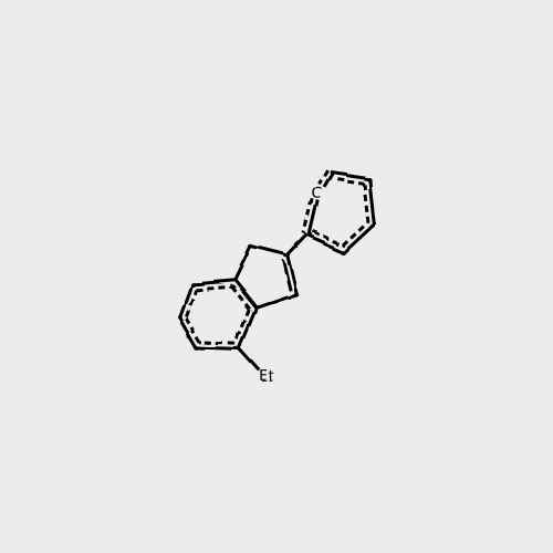 CCc1cccc2c1C=C(c1ccccc1)C2